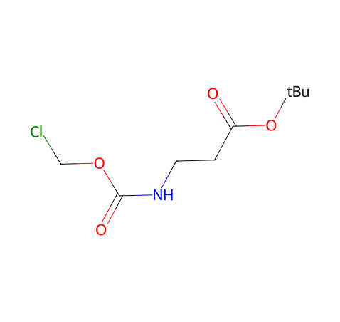 CC(C)(C)OC(=O)CCNC(=O)OCCl